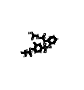 Cc1cc(S(=O)(=O)Nc2ccccc2CC(=O)NCC(=O)O)ccc1OC(=O)C(C)(C)C